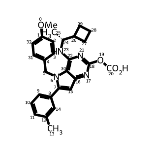 COc1ccc(Cn2c(-c3cccc(C)c3)cc3nc(OC(=O)O)nc(N[C@H](C)C4CCC4)c32)cc1